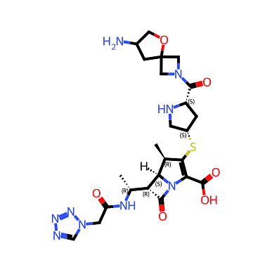 C[C@@H](NC(=O)Cn1cnnn1)[C@H]1C(=O)N2C(C(=O)O)=C(S[C@@H]3CN[C@H](C(=O)N4CC5(CC(N)CO5)C4)C3)[C@H](C)[C@H]12